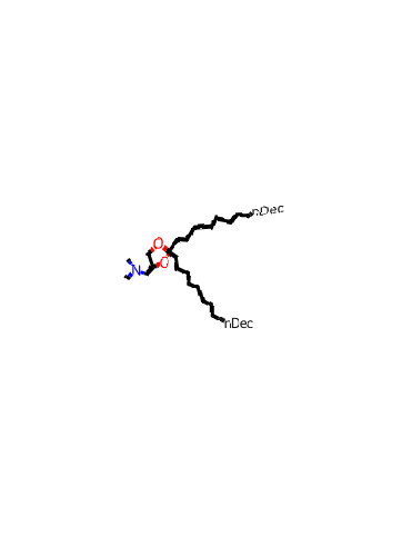 CCCCCCCCCCCCCCCCCCC1(CCCCCCCCCCCCCCCCCC)OC/C(=C\N(C)C)O1